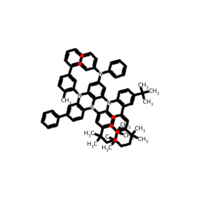 Cc1ccc(-c2ccccc2)cc1N1c2cc(-c3ccccc3)ccc2B2c3cc4c(cc3N(c3ccc(C(C)(C)C)cc3-c3ccc5c(c3)C(C)(C)CCC5(C)C)c3cc(N(c5ccccc5)c5ccccc5)cc1c32)C(C)(C)CCC4(C)C